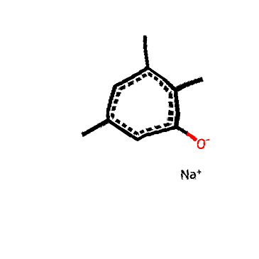 Cc1cc(C)c(C)c([O-])c1.[Na+]